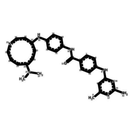 Cc1cc(Nc2ccc(C(=O)Nc3ccc(Nc4ccncccc(N(C)C)cc4)cc3)cc2)nc(N)n1